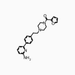 Nc1cccc(-c2ccc(CCN3CCN(C(=O)c4ccco4)CC3)cc2)n1